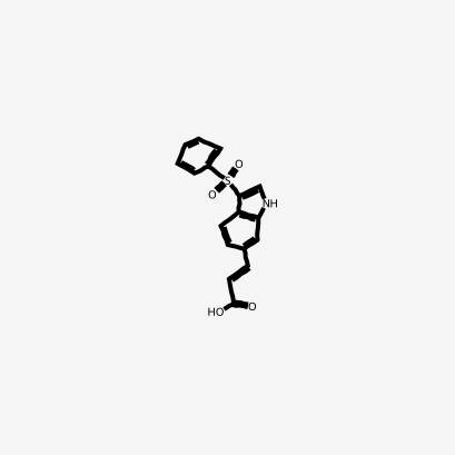 O=C(O)/C=C/c1ccc2c(S(=O)(=O)c3ccccc3)c[nH]c2c1